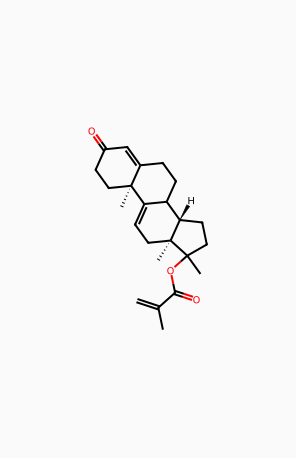 C=C(C)C(=O)OC1(C)CC[C@H]2C3CCC4=CC(=O)CC[C@]4(C)C3=CC[C@@]21C